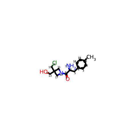 Cc1ccc(CC(N)C(=O)N2CC(CO)(CCl)C2)cc1